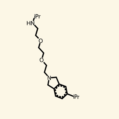 CC(C)NCCOCCOCCN1Cc2ccc(C(C)C)cc2C1